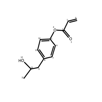 C=CC(=O)Oc1ccc(C[C](C)O)cc1